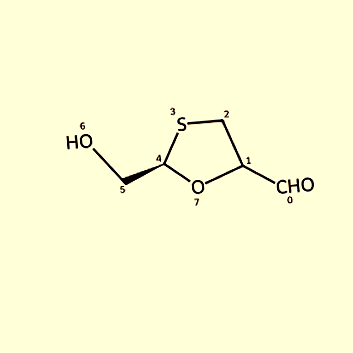 O=CC1CS[C@H](CO)O1